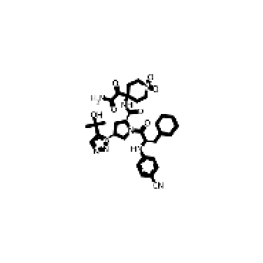 CC(C)(O)c1cnnn1[C@H]1C[C@@H](C(=O)NC2(C(=O)C(N)=O)CCS(=O)(=O)CC2)N(C(=O)[C@@H](CC2CCCCC2)Nc2ccc(C#N)cc2)C1